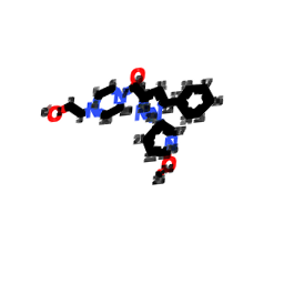 COCCN1CCN(C(=O)c2cc(-c3ccccc3)n(-c3ccc(OC)nc3)n2)CC1